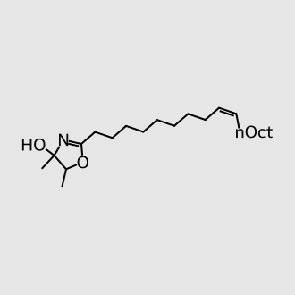 CCCCCCCC/C=C\CCCCCCCCC1=NC(C)(O)C(C)O1